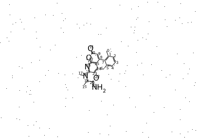 Cc1cccc(C)c1-c1cc(=O)oc2nc(N(C)C(C)C(N)=O)ccc12